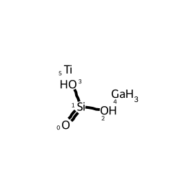 O=[Si](O)O.[GaH3].[Ti]